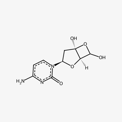 Nc1ccn([C@H]2C[C@@]3(O)OC(O)[C@H]3O2)c(=O)n1